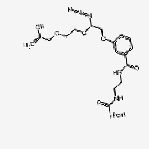 C=C(O)COCCOC(COc1cccc(C(=O)NCCNC(=O)CCCCC)c1)N=[N+]=[N-]